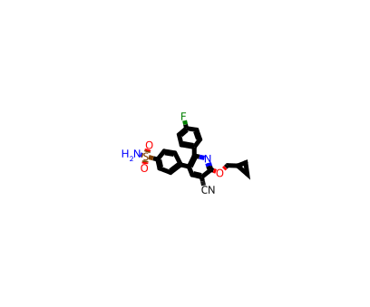 N#Cc1cc(-c2ccc(S(N)(=O)=O)cc2)c(-c2ccc(F)cc2)nc1OCC1CC1